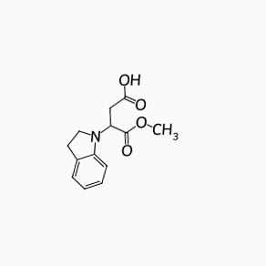 COC(=O)C(CC(=O)O)N1CCc2ccccc21